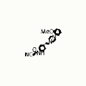 COc1ccccc1N1CCN(CC[C@H]2CC[C@H](NC(=O)CC#N)CC2)CC1